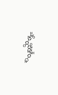 CC(=O)Nc1ccc(-c2ccc(Cl)c(-c3cc4cnc(Nc5ccc(C6CCN(C)CC6)cc5)nc4n(C)c3=O)c2)cn1